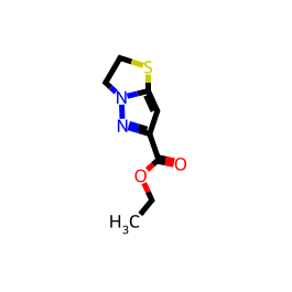 CCOC(=O)c1cc2n(n1)CCS2